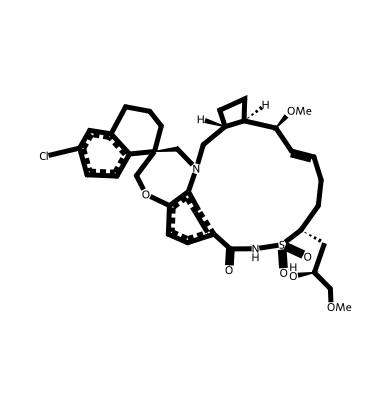 COC[C@@H](O)C[C@H]1CC/C=C/[C@H](OC)[C@@H]2CC[C@H]2CN2C[C@@]3(CCCc4cc(Cl)ccc43)COc3ccc(cc32)C(=O)NS1(=O)=O